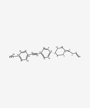 C=CCC[C@H]1CC[C@H](c2ccc(C#Cc3ccc(CCC)cc3)cc2)CC1